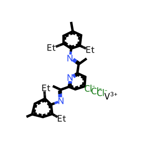 CCc1cc(C)cc(CC)c1N=C(C)c1cccc(C(C)=Nc2c(CC)cc(C)cc2CC)n1.[Cl-].[Cl-].[Cl-].[V+3]